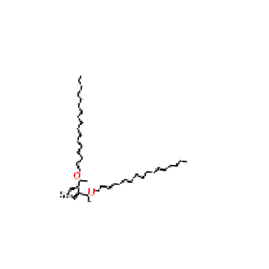 CCCCCCCCCCCCCCCCCOC(C)c1c[se]cc1C(C)OCCCCCCCCCCCCCCCCC